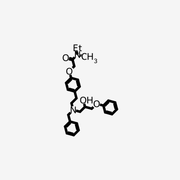 CCN(C)C(=O)COc1ccc(CCN(Cc2ccccc2)CC(O)COc2ccccc2)cc1